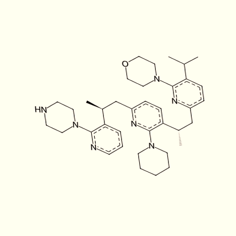 CC(C)c1ccc(C[C@H](C)c2ccc(C[C@H](C)c3cccnc3N3CCNCC3)nc2N2CCCCC2)nc1N1CCOCC1